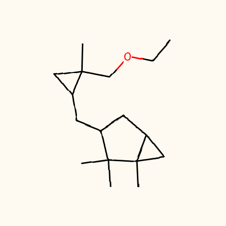 CCOCC1(C)CC1CC1CC2CC2(C)C1(C)C